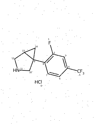 Cl.Fc1cc(C(F)(F)F)ccc1C12CNCC1C2